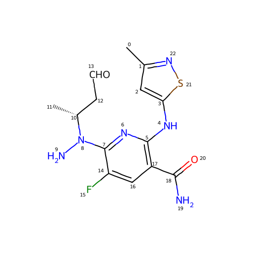 Cc1cc(Nc2nc(N(N)[C@H](C)CC=O)c(F)cc2C(N)=O)sn1